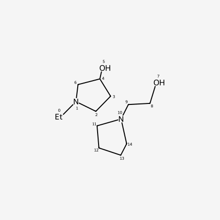 CCN1CCC(O)C1.OCCN1CCCC1